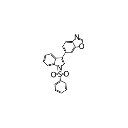 O=S(=O)(c1ccccc1)n1cc(-c2ccc3ncoc3c2)c2ccccc21